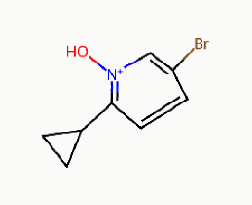 O[n+]1cc(Br)ccc1C1CC1